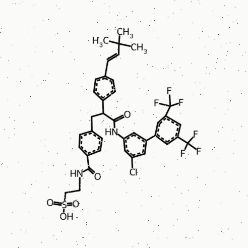 CC(C)(C)/C=C/c1ccc(C(Cc2ccc(C(=O)NCCS(=O)(=O)O)cc2)C(=O)Nc2cc(Cl)cc(-c3cc(C(F)(F)F)cc(C(F)(F)F)c3)c2)cc1